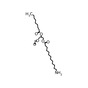 CCCCCCCCC(=O)O[C@H](COP=O)COC(=O)CCCCCCCCCCCCN